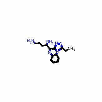 CCc1nnc2c(C(N)CCCN)nc3ccccc3n12